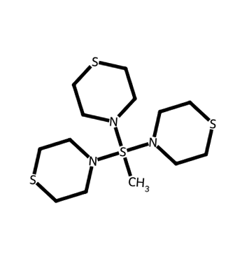 CS(N1CCSCC1)(N1CCSCC1)N1CCSCC1